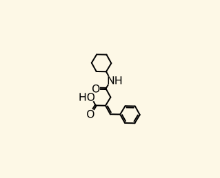 O=C(C/C(=C\c1ccccc1)C(=O)O)NC1CCCCC1